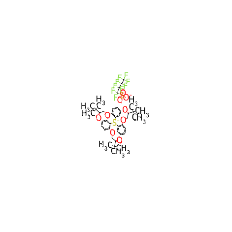 CC(C)(C)C(=O)COc1ccccc1[S+](c1ccccc1OCC(=O)C(C)(C)C)c1ccccc1OCC(=O)C(C)(C)C.O=S(=O)([O-])C(F)(F)C(F)(F)C(F)(F)C(F)(F)F